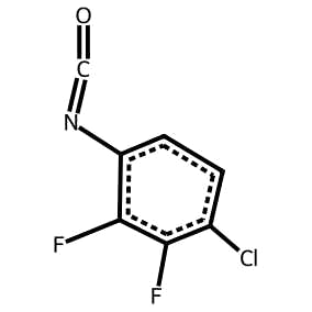 O=C=Nc1ccc(Cl)c(F)c1F